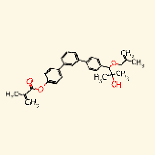 C=C(C)COC(c1ccc(-c2cccc(-c3ccc(OC(=O)C(=C)C)cc3)c2)cc1)C(C)(C)O